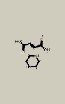 C1CNCCN1.O=C(O)/C=C/C(=O)O